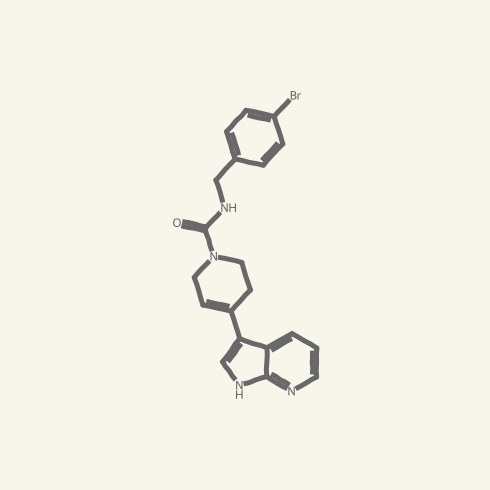 O=C(NCc1ccc(Br)cc1)N1CC=C(c2c[nH]c3ncccc23)CC1